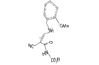 CCOC(=O)NC(=O)/C(C#N)=C\Nc1ccccc1OC